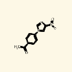 CC(=O)c1ccc(-n2cnc([N+](=O)[O-])c2)cc1